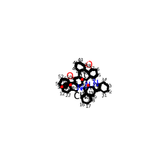 CC/C=C(/N=C(\N=C(/C)c1ccccc1)C1=CCCC=C1)c1c(-n2c3c(c4c2CCC=C4)CCC=C3)ccc2oc3cccc(-c4cccc5c4oc4ccccc45)c3c12